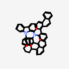 c1ccc(-n2c3ccccc3c3cccc(N(c4ccccc4-c4cccc5c4ccc4ccccc45)c4ccccc4-c4cccc5cccc(C6CCCCC6)c45)c32)cc1